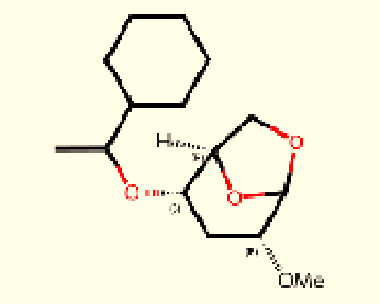 CO[C@@H]1C[C@H](OC(C)C2CCCCC2)[C@H]2COC1O2